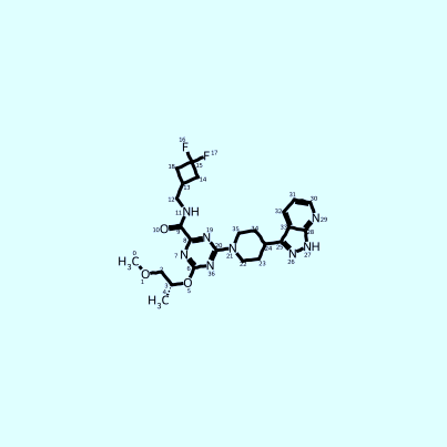 COC[C@@H](C)Oc1nc(C(=O)NCC2CC(F)(F)C2)nc(N2CCC(c3n[nH]c4ncccc34)CC2)n1